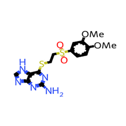 COc1ccc(S(=O)(=O)CCSc2nc(N)nc3nc[nH]c23)cc1OC